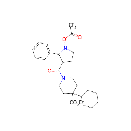 CCOC(=O)C1(C2CCCCC2)CCN(C(=O)C2CCN(OC(=O)C(F)(F)F)C2c2ccccc2)CC1